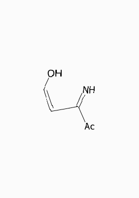 CC(=O)C(=N)/C=C\O